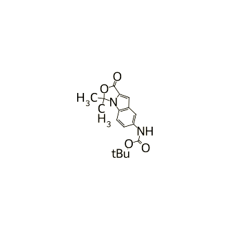 CC(C)(C)OC(=O)Nc1ccc2c(c1)cc1n2C(C)(C)OC1=O